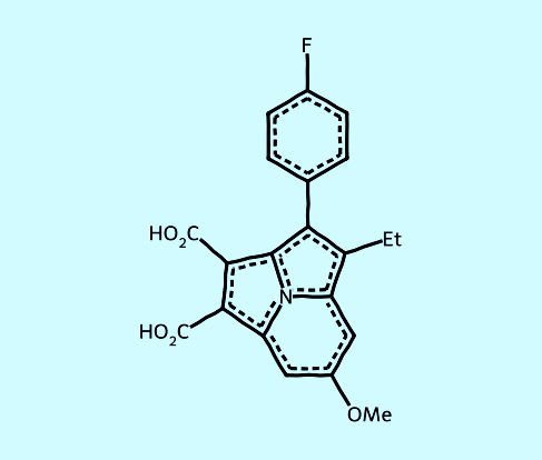 CCc1c(-c2ccc(F)cc2)c2c(C(=O)O)c(C(=O)O)c3cc(OC)cc1n32